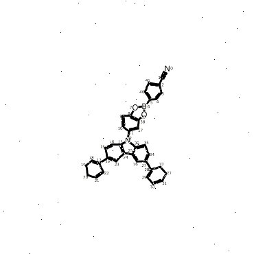 N#Cc1ccc(B2Oc3ccc(-n4c5ccc(C6=CCCC=C6)cc5c5cc(C6=CC=CCC6)ccc54)cc3O2)cc1